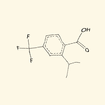 CC(C)c1cc(C(F)(F)F)ccc1C(=O)O